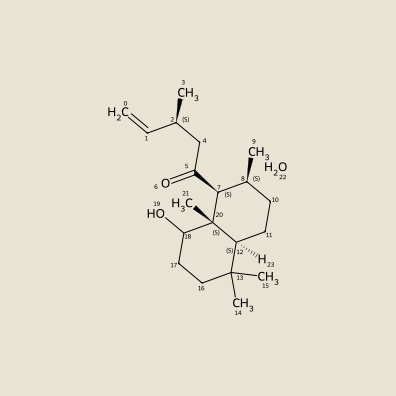 C=C[C@@H](C)CC(=O)[C@H]1[C@@H](C)CC[C@H]2C(C)(C)CCC(O)[C@]12C.O